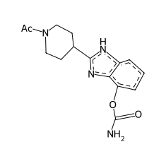 CC(=O)N1CCC(c2nc3c(OC(N)=O)cccc3[nH]2)CC1